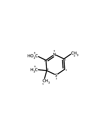 CC1=CSC(C)(C)C(C(=O)O)=N1